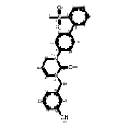 CS(=O)(=O)c1ccccc1-c1ccc(N2CC=CN(Cc3cccc(C#N)c3)C2=O)cc1